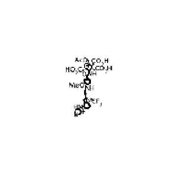 COc1cc(C(=O)N[C@@H]2[C@H](CC(=O)O)[C@H](CC(=O)O)[C@H](COC(C)=O)O[C@H]2CC(=O)O)ccc1NCC#Cc1cc2c(N[C@@H]3CCN(C)C[C@@H]3F)cccc2n1CC(F)(F)F